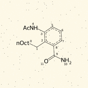 CCCCCCCCCc1c(NC(C)=O)cccc1C(N)=O